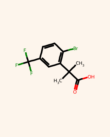 CC(C)(C(=O)O)c1cc(C(F)(F)F)ccc1Br